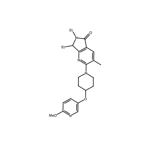 CCC1c2nc(N3CCC(Oc4ccc(OC)nc4)CC3)c(C)cc2C(=O)N1CC